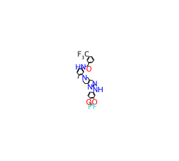 Cc1ccc(NC(=O)c2cccc(C(F)(F)F)c2)cc1N1CCc2nc(Nc3ccc4c(c3)OC(F)(F)O4)ncc2C1